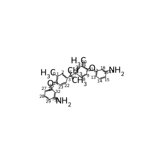 Cc1cc(C(C)(C)c2ccc(Oc3cccc(N)c3)c(C)c2)ccc1Oc1cccc(N)c1